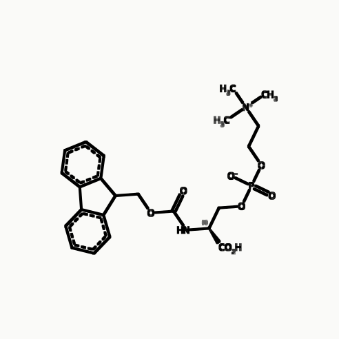 C[N+](C)(C)CCOP(=O)([O-])OC[C@H](NC(=O)OCC1c2ccccc2-c2ccccc21)C(=O)O